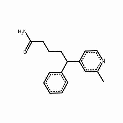 Cc1cc(C(CCCC(N)=O)c2ccccc2)ccn1